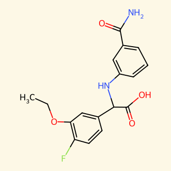 CCOc1cc(C(Nc2cccc(C(N)=O)c2)C(=O)O)ccc1F